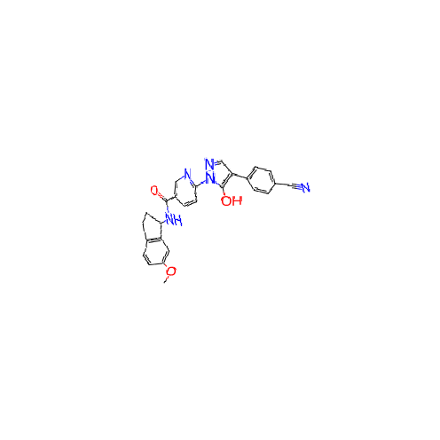 COc1ccc2c(c1)C(NC(=O)c1ccc(-n3ncc(-c4ccc(C#N)cc4)c3O)nc1)CC2